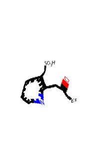 CCC(=O)c1ncccc1S(=O)(=O)O